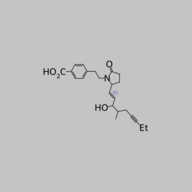 CCC#CCC(C)C(O)/C=C/C1CCC(=O)N1CCc1ccc(C(=O)O)cc1